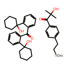 CCCCCCCCCCCCc1ccc(C(=O)C(C)(C)O)cc1.O=C(c1ccccc1C1(O)CCCCC1)c1ccccc1C1(O)CCCCC1